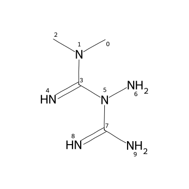 CN(C)C(=N)N(N)C(=N)N